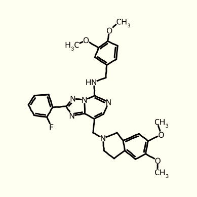 COc1ccc(CNc2ncc(CN3CCc4cc(OC)c(OC)cc4C3)c3nc(-c4ccccc4F)nn23)cc1OC